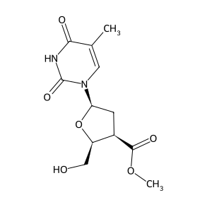 COC(=O)[C@@H]1C[C@H](n2cc(C)c(=O)[nH]c2=O)O[C@@H]1CO